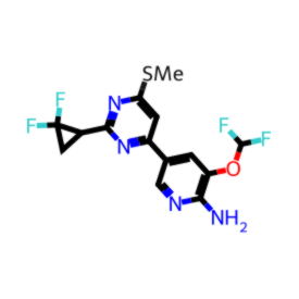 CSc1cc(-c2cnc(N)c(OC(F)F)c2)nc(C2CC2(F)F)n1